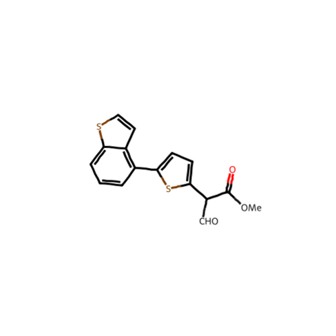 COC(=O)C(C=O)c1ccc(-c2cccc3sccc23)s1